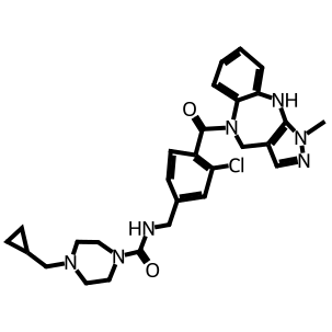 Cn1ncc2c1Nc1ccccc1N(C(=O)c1ccc(CNC(=O)N3CCN(CC4CC4)CC3)cc1Cl)C2